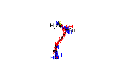 CC1=C(c2ccc(CNC(=O)[C@@H]3C[C@@H](O)CN3C(=O)[C@@H](NC(=O)COCCOCCOCCOCCOc3ccc(COc4ccc5oc(NCc6ncc[nH]6)nc5c4)nc3)C(C)(C)C)cc2)SCN1